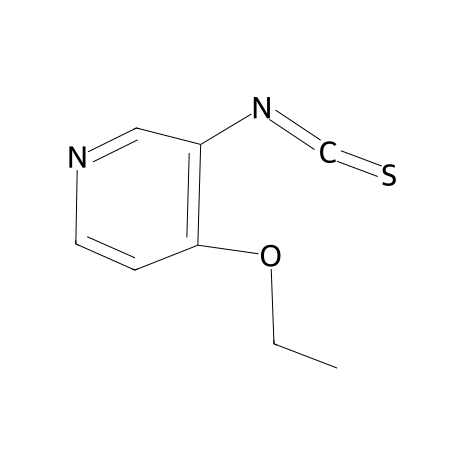 CCOc1ccncc1N=C=S